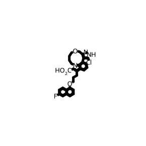 Cc1[nH]nc2c1-c1c(Cl)ccc3c(CCCOc4cccc5cc(F)ccc45)c(C(=O)O)n(c13)CCCCOC2